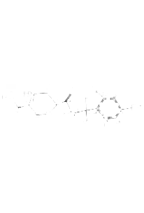 CC(C)(NC(=O)[C@@H]1CN[C@H](CO)CO1)c1ncc(F)cc1Cl